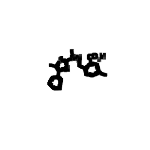 Cc1ccc(/C=N/N(C)c2nc(-c3ccccc3)c(C)s2)c(C(=O)O)c1